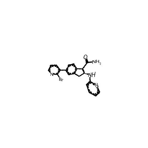 NC(=O)C1c2ccc(-c3cccnc3Br)cc2C[C@@H]1Nc1ccccn1